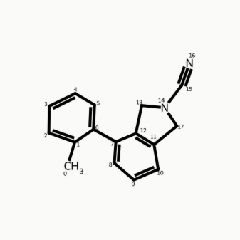 Cc1ccccc1-c1cccc2c1CN(C#N)C2